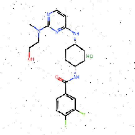 CN(CCO)c1nccc(N[C@H]2CC[C@@H](NC(=O)c3ccc(F)c(F)c3)CC2)n1.Cl